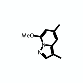 COc1cc(C)cc2c(C)cnn12